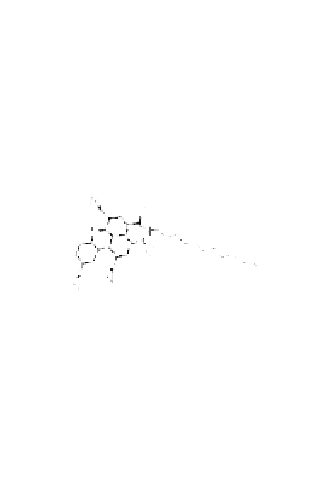 CCCCCCCCCCCCn1c(=O)c2cc(C#N)c3sc4ccc(C#N)cc4c4c(C#N)cc(c1=O)c2c34